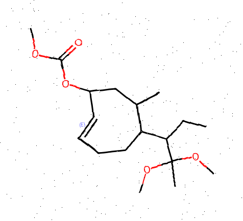 CCC(C1CC/C=C/C(OC(=O)OC)CC1C)C(C)(OC)OC